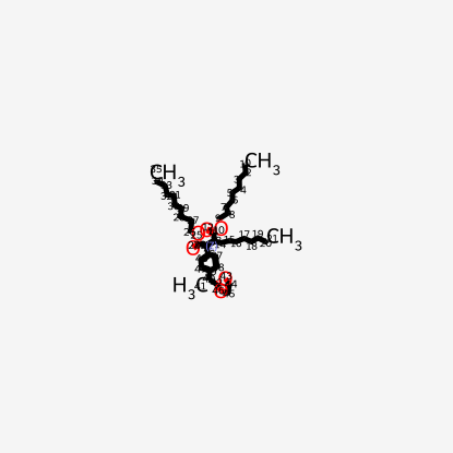 CCCCCCCCCCOC(=O)/C(CCCCCCCC)=C(\C(=O)OCCCCCCCCCC)c1ccc(C(C)C2OCCO2)cc1